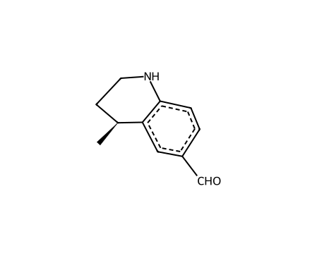 C[C@H]1CCNc2ccc(C=O)cc21